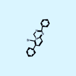 BrC1=C(c2ccccc2)C=CC2=NC(c3ccccc3)=NCN21